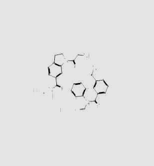 Cl.NCC(=O)N1CCc2ccc(C(N)=O)cc21.NCc1cccc(C(=O)N(CC(=O)O)c2ccccc2)c1